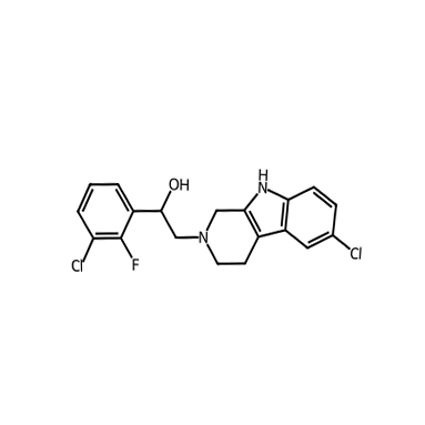 OC(CN1CCc2c([nH]c3ccc(Cl)cc23)C1)c1cccc(Cl)c1F